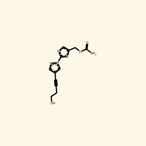 NC(=O)OCc1cnc(-n2cc(C#CCCO)cn2)s1